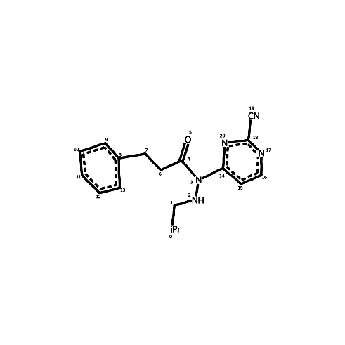 CC(C)CNN(C(=O)CCc1ccccc1)c1ccnc(C#N)n1